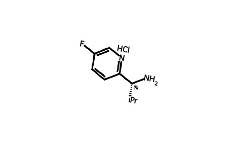 CC(C)[C@@H](N)c1ccc(F)cn1.Cl